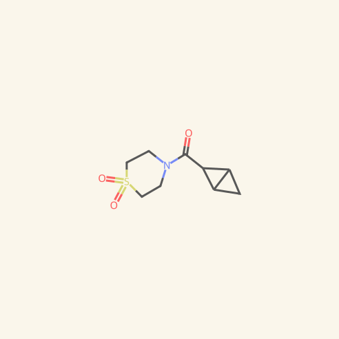 O=C(C1C2CC21)N1CCS(=O)(=O)CC1